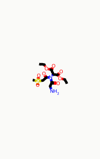 CCOC(=O)C(C(=O)OCC)N(C(=O)CN)C(=O)CS(C)(=O)=O